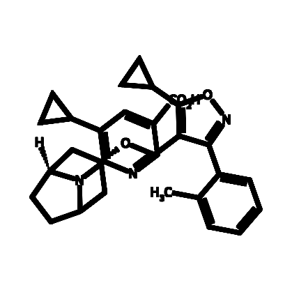 Cc1ccccc1-c1noc(C2CC2)c1CO[C@@H]1CC2CC[C@@H](C1)N2c1ncc(C(=O)O)cc1C1CC1